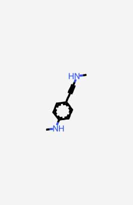 CNC#Cc1ccc(NC)cc1